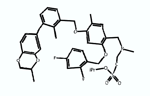 Cc1cc(CN(C)CCS(=O)(=O)OC(C)C)c(OCc2ccc(F)cc2F)cc1OCc1cccc(-c2ccc3c(c2)OC(C)CO3)c1C